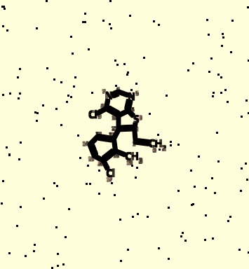 C=Cc1sc2ncnc(Cl)c2c1-c1cccc(Cl)c1C